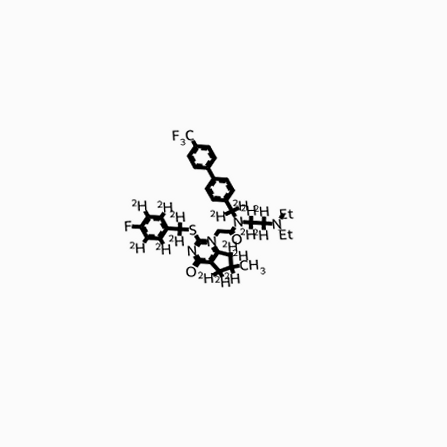 [2H]c1c([2H])c(C([2H])([2H])Sc2nc(=O)c3c(n2CC(=O)N(C([2H])([2H])c2ccc(-c4ccc(C(F)(F)F)cc4)cc2)C([2H])([2H])C([2H])([2H])N(CC)CC)C([2H])([2H])C([2H])(C)C3([2H])[2H])c([2H])c([2H])c1F